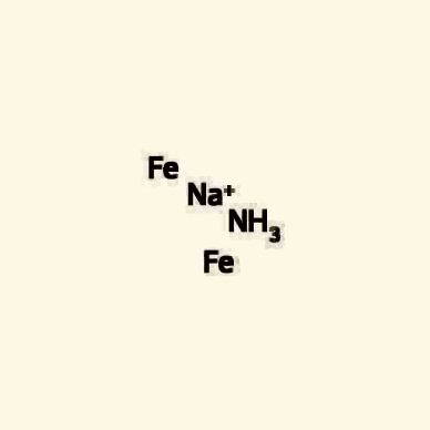 N.[Fe].[Fe].[Na+]